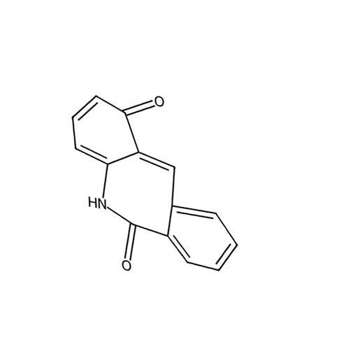 O=c1cccc2[nH]c(=O)c3ccccc3cc1-2